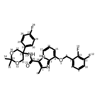 Cc1nc2c(OCc3cccc(F)c3F)cccn2c1C(=O)NC1(c2ccc(F)cc2)COC(C)(C)OC1